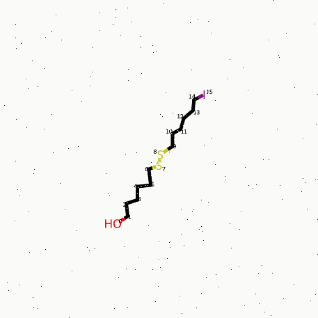 OCCCCCCSSCCCCCCI